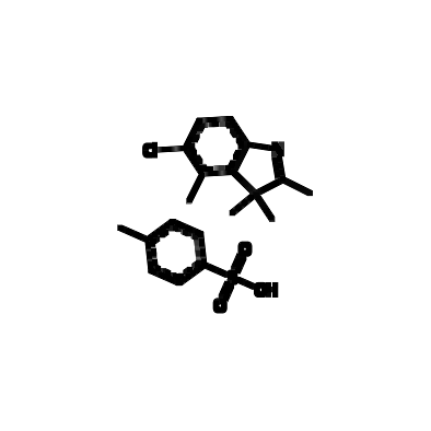 CC1=Nc2ccc(Cl)c(C)c2C1(C)C.Cc1ccc(S(=O)(=O)O)cc1